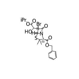 CC(C)OC(=O)C(O)[C@]1(Br)C(=O)N2[C@@H](C(=O)OCc3ccccc3)C(C)(C)S[C@@H]21